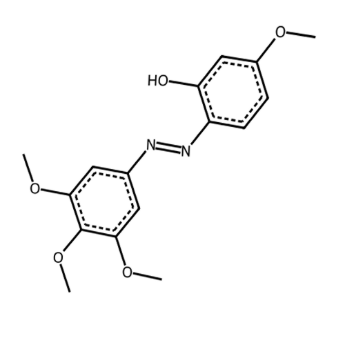 COc1ccc(N=Nc2cc(OC)c(OC)c(OC)c2)c(O)c1